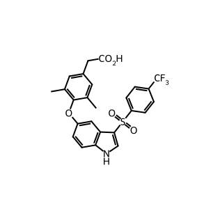 Cc1cc(CC(=O)O)cc(C)c1Oc1ccc2[nH]cc(S(=O)(=O)c3ccc(C(F)(F)F)cc3)c2c1